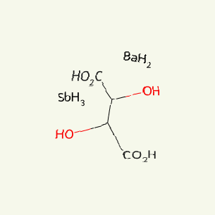 O=C(O)C(O)C(O)C(=O)O.[BaH2].[SbH3]